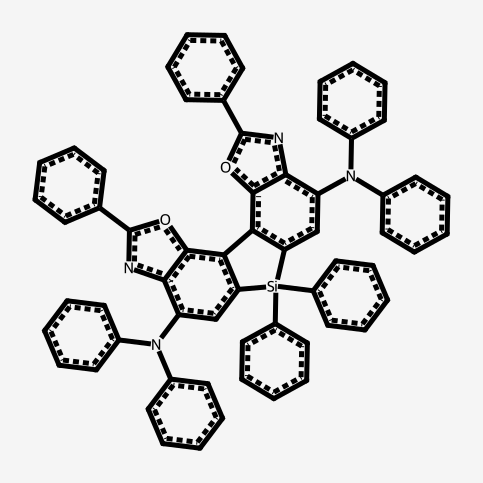 c1ccc(-c2nc3c(N(c4ccccc4)c4ccccc4)cc4c(c3o2)-c2c(cc(N(c3ccccc3)c3ccccc3)c3nc(-c5ccccc5)oc23)[Si]4(c2ccccc2)c2ccccc2)cc1